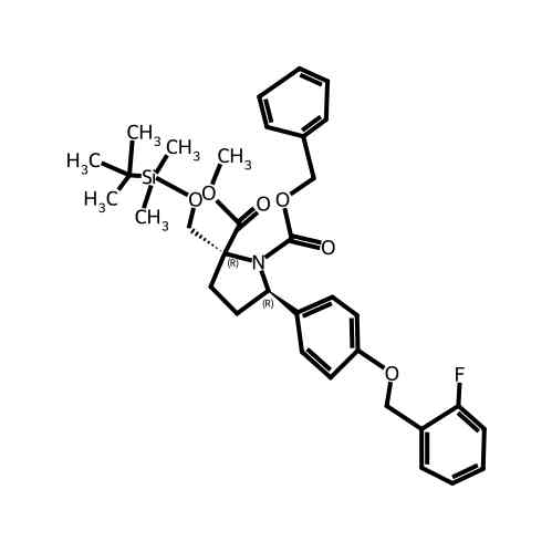 COC(=O)[C@]1(CO[Si](C)(C)C(C)(C)C)CC[C@H](c2ccc(OCc3ccccc3F)cc2)N1C(=O)OCc1ccccc1